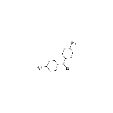 CCC(C1CCC(N)CC1)C1CCC(N)CC1